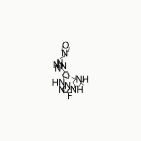 CC1(C)CC(Nc2nc(Nc3cccc(-c4nnn(CCN5CCOCC5)n4)c3)ncc2F)CC(C)(C)N1